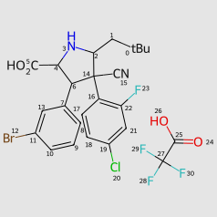 CC(C)(C)CC1NC(C(=O)O)C(c2cccc(Br)c2)C1(C#N)c1ccc(Cl)cc1F.O=C(O)C(F)(F)F